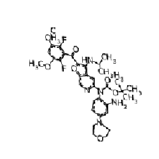 COc1cc(OC)c(F)c(C(=O)c2oc3cnc(N(C(=O)OC(C)(C)C)c4ccc(N5CCOCC5)cc4N)cc3c2NC(C)C)c1F